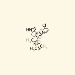 Cc1nc(C(C)(C)F)oc1C(=O)N1CCc2[nH]cnc2[C@@H]1S1=NN2C=CC=C(Cl)C2=C1